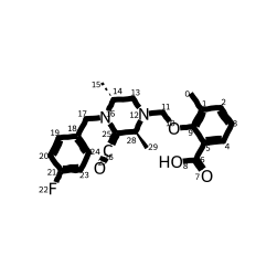 Cc1cccc(C(=O)O)c1OCN1C[C@@H](C)N(Cc2ccc(F)cc2)C(=C=O)[C@@H]1C